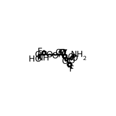 CS(=O)(=O)N(CCOCCOCc1ccc(F)c(C(=O)NO)c1)c1cc2oc(-c3ccc(F)cc3)c(C(=O)OC(N)=O)c2cc1C1CC1